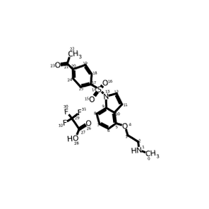 CNCCOc1cccc2c1ccn2S(=O)(=O)c1ccc(C(C)=O)cc1.O=C(O)C(F)(F)F